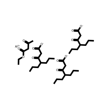 CCCC(CCC)C(=O)CC(=O)[O-].CCCC(CCC)C(=O)CC(=O)[O-].CCCC(CCC)C(=O)CC(=O)[O-].CCOC(=O)CC(C)=O.[Al+3]